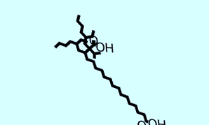 CCCCC(CC)CC(CCCCCCCCCCCCCCC(=O)O)C(CC(CC)CCCC)(C(=O)O)C(C)C